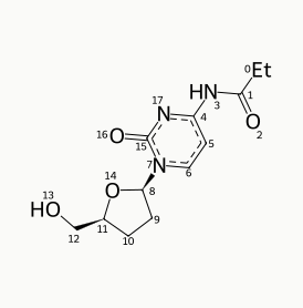 CCC(=O)Nc1ccn([C@H]2CC[C@@H](CO)O2)c(=O)n1